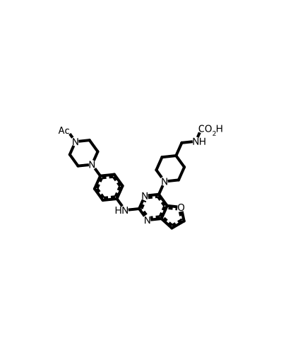 CC(=O)N1CCN(c2ccc(Nc3nc(N4CCC(CNC(=O)O)CC4)c4occc4n3)cc2)CC1